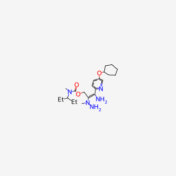 CCC(CC)N(C)C(=O)OC/C(=C(/N)c1ccc(OC2CCCCC2)cn1)N(C)N